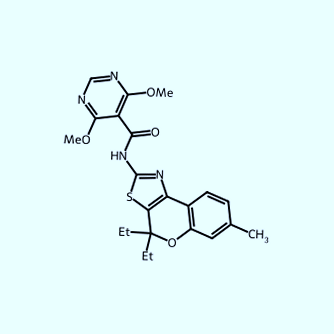 CCC1(CC)Oc2cc(C)ccc2-c2nc(NC(=O)c3c(OC)ncnc3OC)sc21